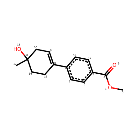 COC(=O)c1ccc(C2=CCC(C)(O)CC2)cc1